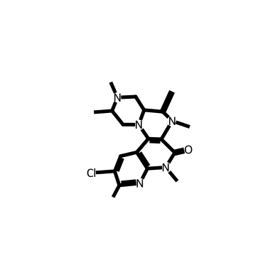 C=C1C2CN(C)C(C)CN2c2c(c(=O)n(C)c3nc(C)c(Cl)cc23)N1C